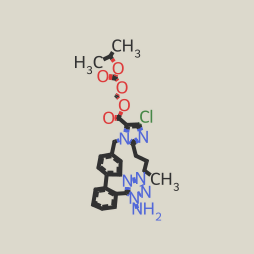 CCCCc1nc(Cl)c(C(=O)OCOC(=O)OC(C)C)n1Cc1ccc(-c2ccccc2-c2nnnn2N)cc1